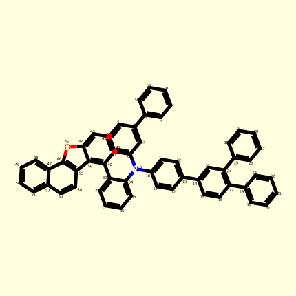 c1ccc(-c2cccc(N(c3ccc(-c4ccc(-c5ccccc5)c(-c5ccccc5)c4)cc3)c3ccccc3-c3cccc4oc5c6ccccc6ccc5c34)c2)cc1